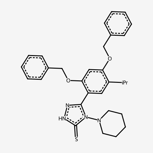 CC(C)c1cc(-c2n[nH]c(=S)n2N2CCCCC2)c(OCc2ccccc2)cc1OCc1ccccc1